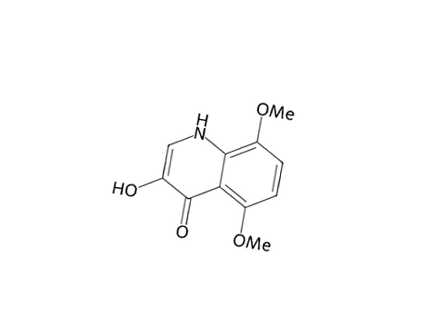 COc1ccc(OC)c2c(=O)c(O)c[nH]c12